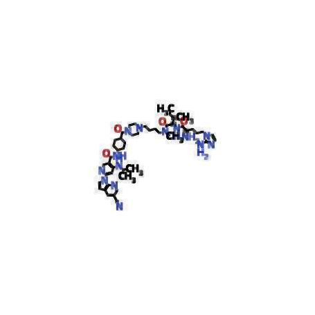 CC[C@H](C)[C@H](NC(=O)[C@@H](N)CCCn1ccnc1N)C(=O)N(C)CCCCN1CCN(C(=O)C2CCC(NC(=O)c3cnc(-n4ccc5cc(C#N)cnc54)cc3NC(C)C)CC2)CC1